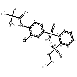 C[C@@](O)(C(=O)Nc1ccc(S(=O)(=O)c2ccccc2S(=O)(=O)CCO)cc1Cl)C(F)(F)F